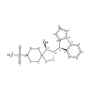 CS(=O)(=O)N1CCC2(CC[C@@H]([C@@H]3c4ccccc4-c4cncn43)[C@@H]2O)CC1